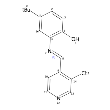 CC(C)(C)c1ccc(O)c(/N=C/c2ccncc2Cl)c1